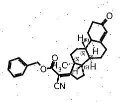 C[C@]12CC[C@H]3[C@@H](CCC4=CC(=O)CC[C@@H]43)[C@@H]1CCC2=C(C#N)C(=O)OCc1ccccc1